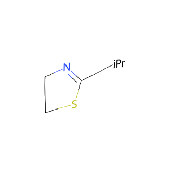 CC(C)C1=NCCS1